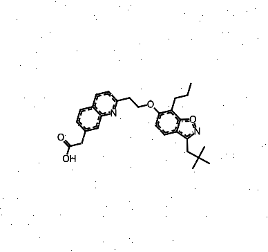 CCCc1c(OCCc2ccc3ccc(CC(=O)O)cc3n2)ccc2c(CC(C)(C)C)noc12